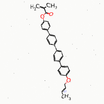 C=C(C)C(=O)Oc1ccc(-c2ccc(-c3ccc(-c4ccc(OC/C=C/C)cc4)cc3)cc2)cc1